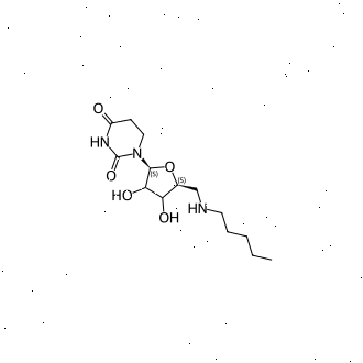 CCCCCNC[C@@H]1O[C@H](N2CCC(=O)NC2=O)C(O)C1O